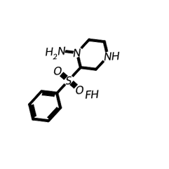 F.NN1CCNCC1S(=O)(=O)c1ccccc1